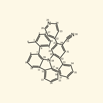 Cc1ccccc1-c1cccc2c3ccccc3n(-c3cc(-c4ccncc4)c(C#N)cc3-c3ccccc3)c12